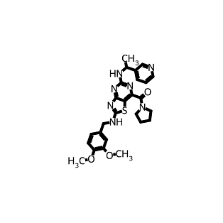 COc1ccc(CNc2nc3nc(NC(C)c4cccnc4)nc(C(=O)N4CCCC4)c3s2)cc1OC